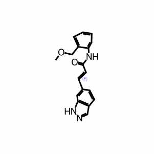 COCc1ccccc1NC(=O)/C=C/c1ccc2cn[nH]c2c1